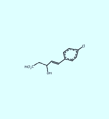 O=C(O)CC(O)/C=C/c1ccc(Cl)cc1